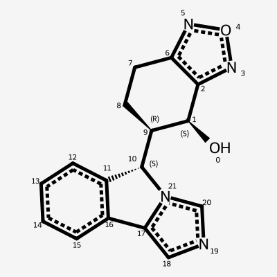 O[C@@H]1c2nonc2CC[C@@H]1[C@H]1c2ccccc2-c2cncn21